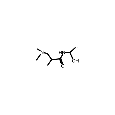 [CH2]C(O)NC(=O)C(C)CN(C)C